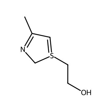 CC1=NCS(CCO)=C1